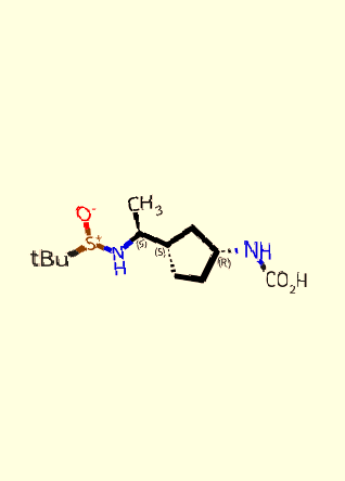 C[C@H](N[S+]([O-])C(C)(C)C)[C@H]1CC[C@@H](NC(=O)O)C1